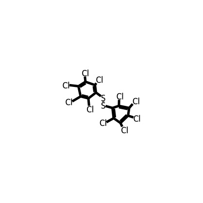 Clc1c(Cl)c(Cl)c(SSc2c(Cl)c(Cl)c(Cl)c(Cl)c2Cl)c(Cl)c1Cl